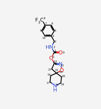 O=C(NCc1ccc(C(F)(F)F)cc1)OC1=NOC2(CCNCC2)C1